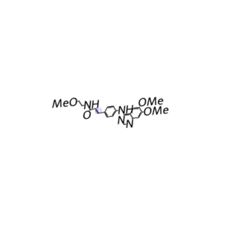 COCCNC(=O)/C=C/c1ccc(Nc2ncnc3cc(OC)c(OC)cc23)cc1